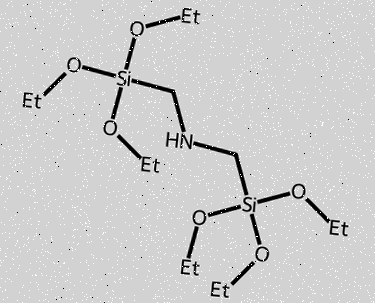 CCO[Si](CNC[Si](OCC)(OCC)OCC)(OCC)OCC